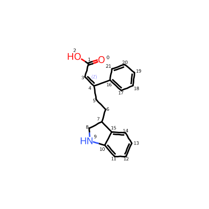 O=C(O)/C=C(/CCC1CNc2ccccc21)c1ccccc1